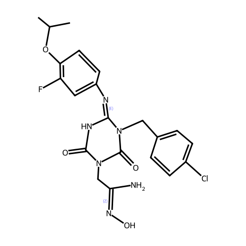 CC(C)Oc1ccc(/N=c2\[nH]c(=O)n(C/C(N)=N/O)c(=O)n2Cc2ccc(Cl)cc2)cc1F